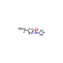 C/C(=C\C(C)(C)C)c1ccc(C(=O)Nc2ccncc2)cc1